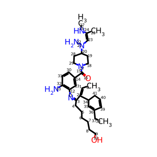 C/C=C(/C(CCCCCCO)=N\c1cc(C(=O)N2CCC(N(N)/C=C(/C)NC)CC2)ccc1N)C1C=C(CC)C=CC1